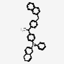 CC(c1ccc(Cc2ccc3ccccc3c2)cc1)c1ccc(N(C2=C=C=CC=C2)C2=CC=C3CCC=CC3C2)cc1